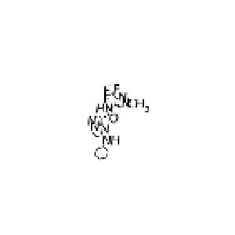 Cn1cc(NC(=O)c2cnn3ccc(NC4CCCCC4)nc23)c(C(F)(F)F)n1